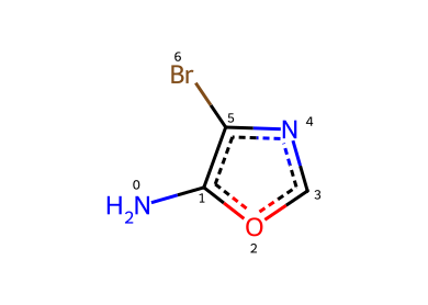 Nc1ocnc1Br